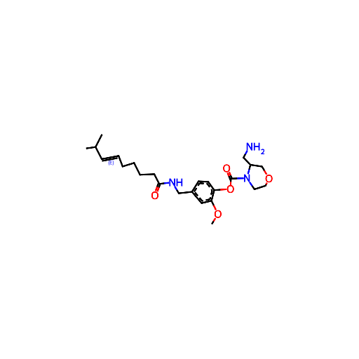 COc1cc(CNC(=O)CCCC/C=C/C(C)C)ccc1OC(=O)N1CCOCC1CN